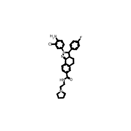 Nc1ccc(N2N=C3c4ccc(C(=O)NCCN5CCCC5)cc4CCC3C2c2ccc(F)cc2)cc1Cl